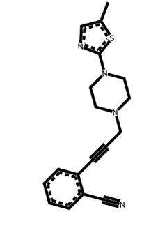 Cc1cnc(N2CCN(CC#Cc3ccccc3C#N)CC2)s1